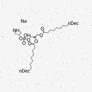 CCCCCCCCCCCCCCCCCC(=O)OC[C@H](COP(=O)(O)OCCN)OC(=O)CCCCCCCCCCCCCCCCC.[Na]